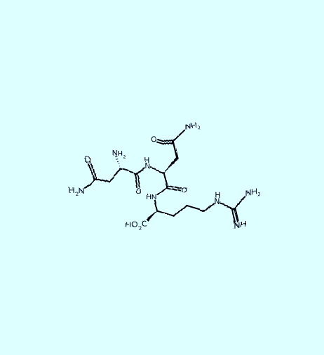 N=C(N)NCCC[C@H](NC(=O)[C@H](CC(N)=O)NC(=O)[C@@H](N)CC(N)=O)C(=O)O